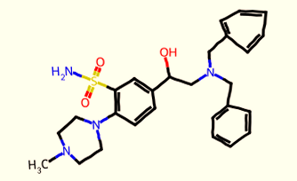 CN1CCN(c2ccc(C(O)CN(Cc3ccccc3)Cc3ccccc3)cc2S(N)(=O)=O)CC1